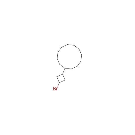 BrC1CC(C2CCCCCCCCCCC2)C1